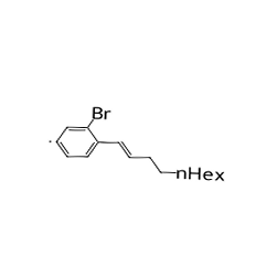 CCCCCCCC/C=C/c1cc[c]cc1Br